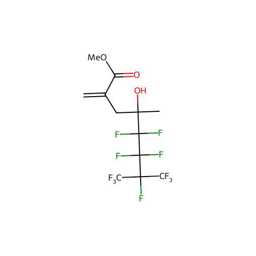 C=C(CC(C)(O)C(F)(F)C(F)(F)C(F)(C(F)(F)F)C(F)(F)F)C(=O)OC